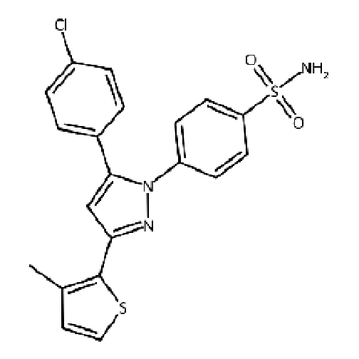 Cc1ccsc1-c1cc(-c2ccc(Cl)cc2)n(-c2ccc(S(N)(=O)=O)cc2)n1